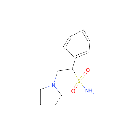 NS(=O)(=O)C(CN1CCCC1)c1ccccc1